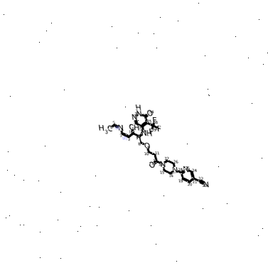 C=C(/C=C\N=C/C)[C@H](COCCC(=O)N1CCN(c2ccc(C#N)cn2)CC1)Nc1cn[nH]c(=O)c1C(F)(F)F